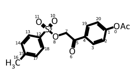 CC(=O)Oc1ccc(C(=O)COS(=O)(=O)c2ccc(C)cc2)cc1